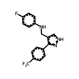 Fc1ccc(NCc2c[nH]nc2-c2ccc(C(F)(F)F)cc2)cc1